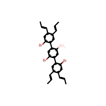 Bc1cc(-c2cc(/C=C/C)c(/C=C/C)cc2Br)c(Br)cc1-c1cc(/C=C/C)c(/C=C/C)cc1Br